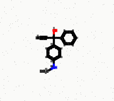 C#CC(O)(c1ccccc1)c1ccc(NC(=O)OCC)cc1